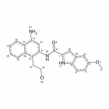 COc1ccc2[nH]c(C(=O)Nc3cc(N)c4ccccc4c3CCCl)cc2c1